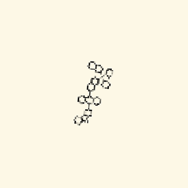 c1ccc2c(c1)-c1ccccc1C21c2cc3cc(-c4c5ccccc5c(-c5ccc6oc7ccccc7c6c5)c5ccccc45)ccc3cc2-c2c1ccc1ccccc21